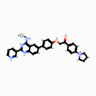 CNc1nc(-c2cccnc2)nc2ccc(-c3ccc(OCC(=O)c4ccc(N5CCCC5)cc4)cc3)cc12